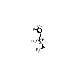 CC(C)(CCc1ccc(C(C)(C)C)c(F)c1)OCC1CC1C(F)(F)F